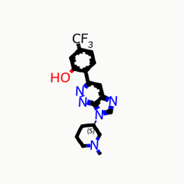 CN1CCC[C@H](n2cnc3cc(-c4ccc(C(F)(F)F)cc4O)nnc32)C1